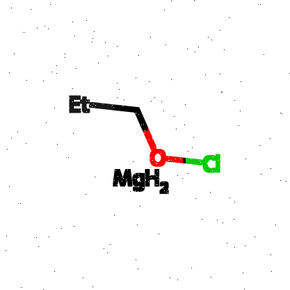 CCCOCl.[MgH2]